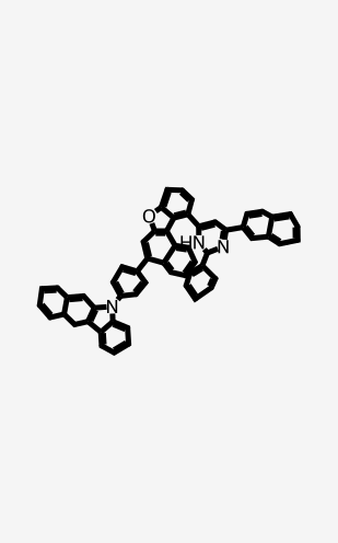 C1=CC2=Cc3c(c4ccccc4n3-c3ccc(-c4cc5oc6cccc(C7=CC(c8ccc9ccccc9c8)=NC(c8ccccc8)N7)c6c5c5ccccc45)cc3)CC2C=C1